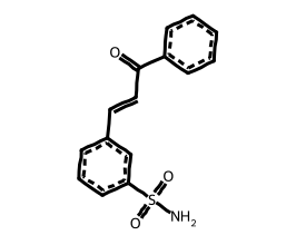 NS(=O)(=O)c1cccc(/C=C/C(=O)c2ccccc2)c1